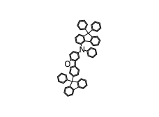 c1ccc(N(c2ccc3oc4cc(C5(c6ccccc6)c6ccccc6-c6ccccc65)ccc4c3c2)c2cccc3c2-c2ccccc2C3(c2ccccc2)c2ccccc2)cc1